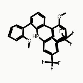 COc1ccccc1-c1cccc(-c2ccccc2OC)c1Pc1cc(C(F)(F)F)cc(C(F)(F)F)c1